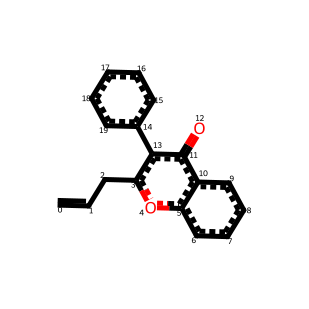 C=CCc1oc2ccccc2c(=O)c1-c1ccccc1